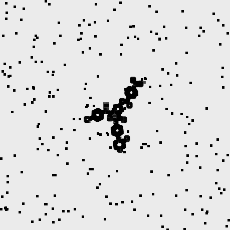 O=C(OC1CC(C(=O)Nc2ccc(N3CCOCC3=O)cc2)N(C(=O)Nc2ccc(Cl)cc2)C1)c1ccc([N+](=O)[O-])cc1